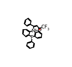 O=C(/C=C(\Nc1ccccc1P(c1ccccc1)c1ccccc1)c1ccccc1)C(F)(F)F